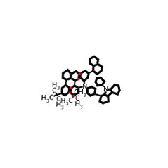 CC(C)(C)c1cc(-c2cccc3cccc(-c4ccccc4N(c4ccc(-c5cccc6c7ccccc7n(-c7ccccc7)c56)cc4)c4cccc(-c5cccc6ccccc56)c4)c23)cc(C(C)(C)C)c1